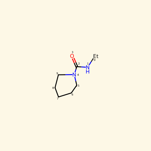 CCNC(=O)N1[CH]CCCC1